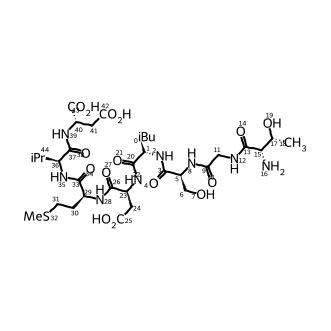 CC[C@H](C)[C@H](NC(=O)[C@H](CO)NC(=O)CNC(=O)[C@@H](N)[C@@H](C)O)C(=O)N[C@@H](CC(=O)O)C(=O)N[C@@H](CCSC)C(=O)N[C@H](C(=O)N[C@@H](CC(=O)O)C(=O)O)C(C)C